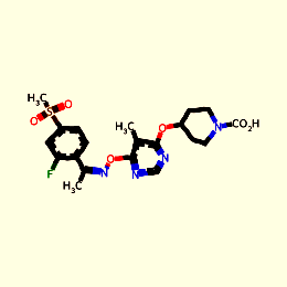 C/C(=N/Oc1ncnc(OC2CCN(C(=O)O)CC2)c1C)c1ccc(S(C)(=O)=O)cc1F